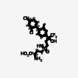 Cc1cc(C(O)(CCS(=N)(=O)CC[C@H](N)C(=O)O)C(F)(F)F)ccc1-c1ccc(Cl)cc1Cl